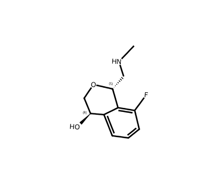 CNC[C@H]1OC[C@H](O)c2cccc(F)c21